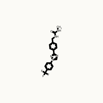 CNC(=O)NCc1ccc(-c2ncn(-c3ccc(C(F)(F)F)cc3)n2)cc1